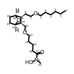 CCCCCCOCC[C@H]1[C@@H](COCCCCC(=O)N(C)O)[C@H]2CC[C@@H]1O2